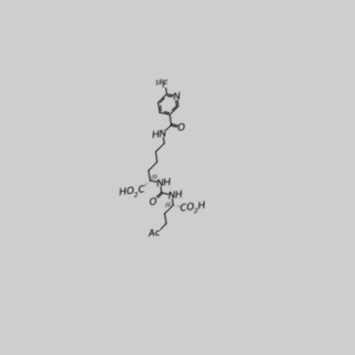 CC(=O)CC[C@H](NC(=O)N[C@@H](CCCCNC(=O)c1ccc([18F])nc1)C(=O)O)C(=O)O